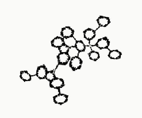 c1ccc(-c2cccc(S(c3ccccc3)(c3cccc(-c4ccccc4)c3)c3cc(-c4ccccc4)c(-n4c5ccccc5c5cc(-n6c7ccc(-c8ccccc8)cc7c7cc(-c8ccccc8)ccc76)ccc54)c(-c4ccccc4)c3)c2)cc1